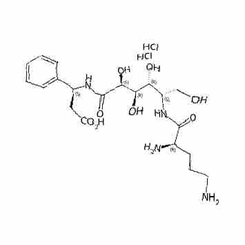 Cl.Cl.NCCC[C@@H](N)C(=O)N[C@@H](CO)[C@@H](O)[C@@H](O)[C@H](O)C(=O)N[C@@H](CC(=O)O)c1ccccc1